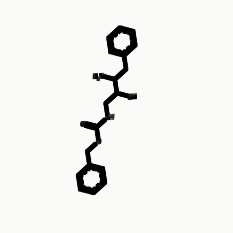 NC(Cc1ccccc1)C(O)CNC(=O)OCc1ccccc1